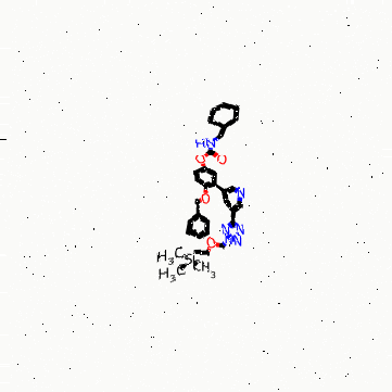 C[Si](C)(C)CCOCn1nnc(-c2cncc(-c3cc(OC(=O)NCC4CCCCC4)ccc3OCc3ccccc3)c2)n1